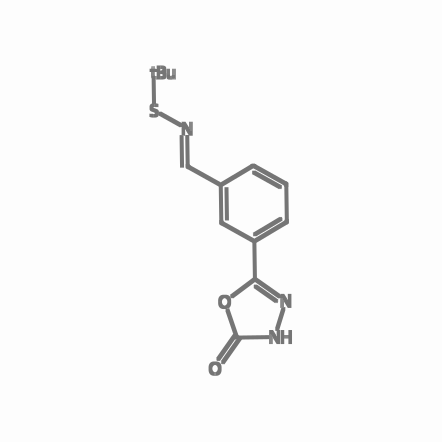 CC(C)(C)S/N=C/c1cccc(-c2n[nH]c(=O)o2)c1